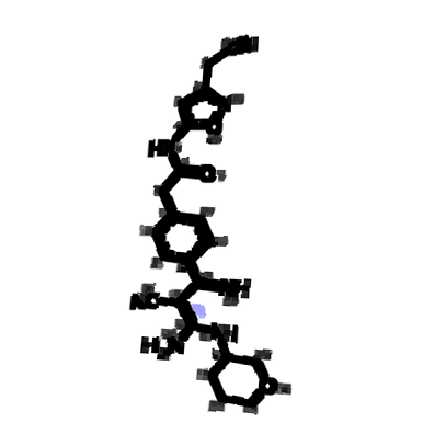 CC(C)(C)Cc1cc(NC(=O)Cc2ccc(C(=N)/C(C#N)=C(/N)NC3CCCOC3)cc2)on1